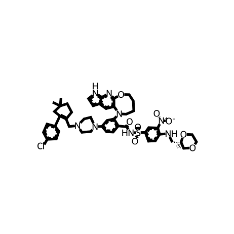 CC1(C)CCC(CN2CCN(c3ccc(C(=O)NS(=O)(=O)c4ccc(NC[C@H]5COCCO5)c([N+](=O)[O-])c4)c(N4CCCCOc5nc6[nH]ccc6cc54)c3)CC2)=C(c2ccc(Cl)cc2)C1